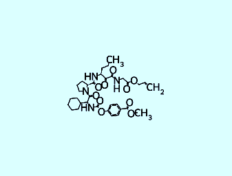 C=CCOC(=O)CNC(=O)C(=O)[C@H](CCC)NC(=O)[C@@H]1CCCN1C(=O)[C@@H](NC(=O)Oc1ccc(C(=O)OC)cc1)C1CCCCC1